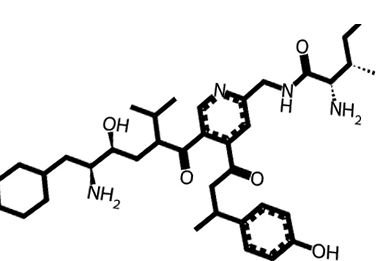 CC[C@H](C)[C@H](N)C(=O)NCc1cc(C(=O)CC(C)c2ccc(O)cc2)c(C(=O)C(C[C@H](O)[C@@H](N)CC2CCCCC2)C(C)C)cn1